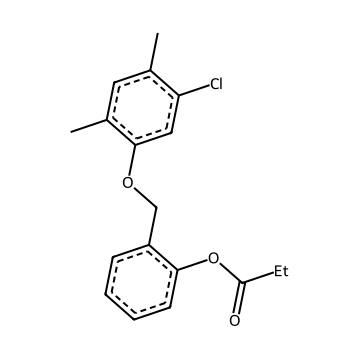 CCC(=O)Oc1ccccc1COc1cc(Cl)c(C)cc1C